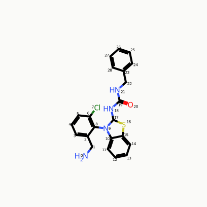 NCc1cccc(Cl)c1N1c2ccccc2SC1NC(=O)NCc1ccccc1